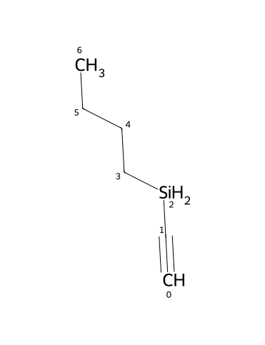 C#C[SiH2]CCCC